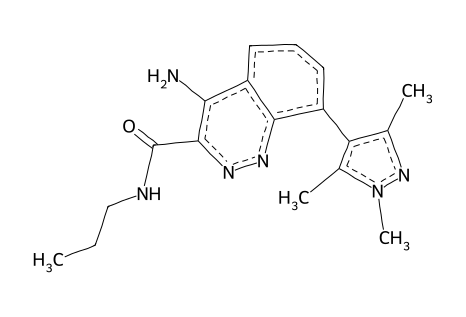 CCCNC(=O)c1nnc2c(-c3c(C)nn(C)c3C)cccc2c1N